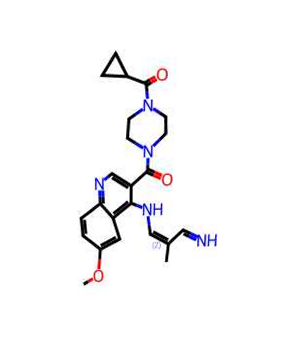 COc1ccc2ncc(C(=O)N3CCN(C(=O)C4CC4)CC3)c(N/C=C(/C)C=N)c2c1